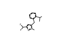 CC(C)c1ccccc1Cc1cc(C(F)F)nn1C